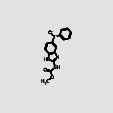 COC(=O)Nc1nc2cc([S+]([O-])c3ccccc3)ccc2[nH]1